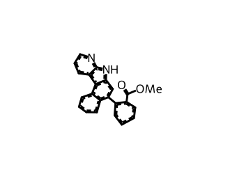 COC(=O)c1ccccc1-c1cc2[nH]c3ncccc3c2c2ccccc12